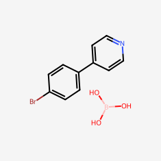 Brc1ccc(-c2ccncc2)cc1.OB(O)O